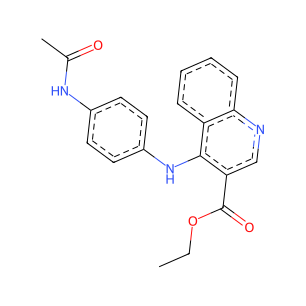 CCOC(=O)c1cnc2ccccc2c1Nc1ccc(NC(C)=O)cc1